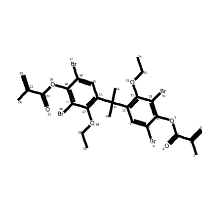 C=C(C)C(=O)Oc1c(Br)cc(C(C)(C)c2cc(Br)c(OC(=O)C(=C)C)c(Br)c2OCC)c(OCC)c1Br